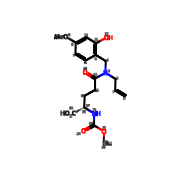 C=CCN(Cc1ccc(OC)cc1O)C(=O)CC[C@H](NC(=O)OC(C)(C)C)C(=O)O